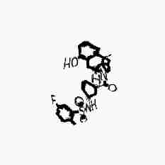 Cc1ccc(F)cc1S(=O)(=O)N[C@@H]1CC[C@@H](C(=O)N2CC[C@@]3(C)c4cccc(O)c4C[C@@H]2C3(C)C)C1